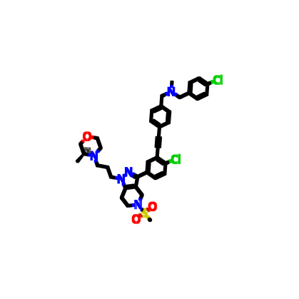 C[C@H]1COCCN1CCCn1nc(-c2ccc(Cl)c(C#Cc3ccc(CN(C)Cc4ccc(Cl)cc4)cc3)c2)c2c1CCN(S(C)(=O)=O)C2